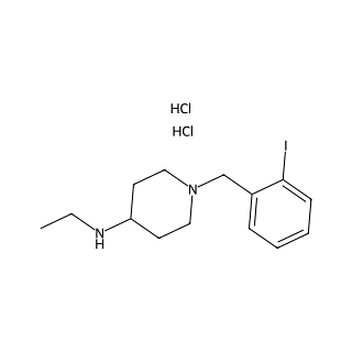 CCNC1CCN(Cc2ccccc2I)CC1.Cl.Cl